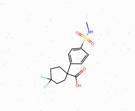 CNS(=O)(=O)c1ccc(C2(C(=O)O)CCC(F)(F)CC2)cc1